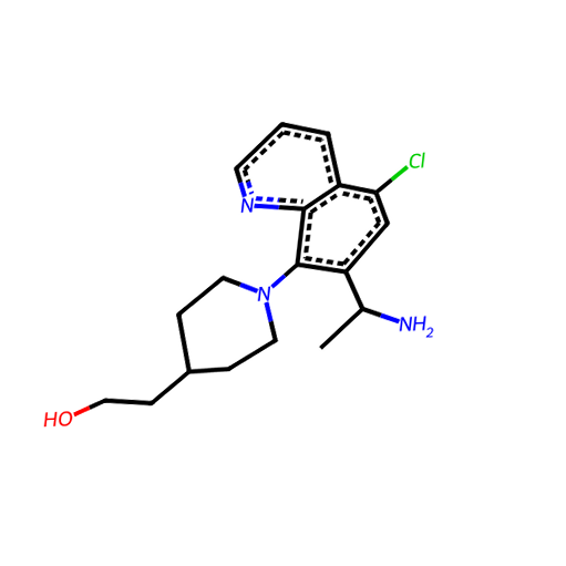 CC(N)c1cc(Cl)c2cccnc2c1N1CCC(CCO)CC1